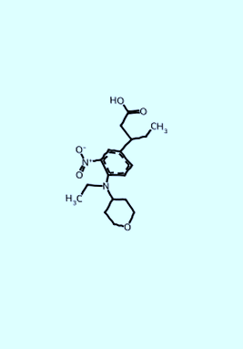 CCC(CC(=O)O)c1ccc(N(CC)C2CCOCC2)c([N+](=O)[O-])c1